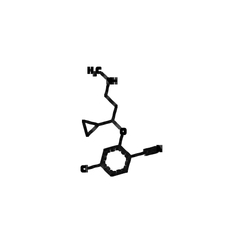 CNCCC(Oc1cc(Cl)ccc1C#N)C1CC1